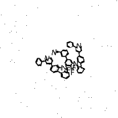 N#Cc1cccc(-c2cc(-n3c4ccccc4c4ccc(-c5ccnc(-c6ccccc6)c5)cc43)c(C(F)(F)F)c(-n3c4ccccc4c4ccc(-c5ccnc(-c6ccccc6)c5)cc43)c2)c1